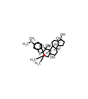 CN(C)c1ccc2c(c1)SC21C2(CC(C)(C)C2)C[C@]2(O)CC[C@@H]3[C@H](CC[C@]4(C)[C@@H](O)CC[C@@H]34)[C@H]2C1(O)O